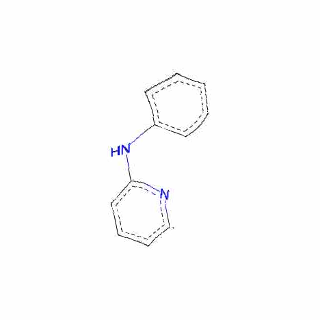 [c]1cccc(Nc2ccccc2)n1